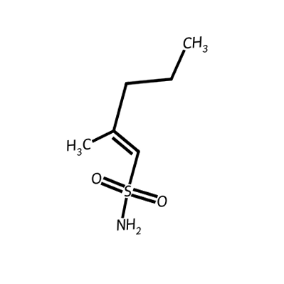 CCCC(C)=CS(N)(=O)=O